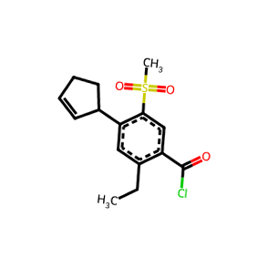 CCc1cc(C2C=CCC2)c(S(C)(=O)=O)cc1C(=O)Cl